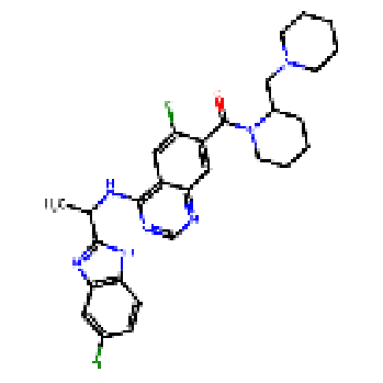 CC(Nc1ncnc2cc(C(=O)N3CCCCC3CN3CCCCC3)c(Cl)cc12)c1nc2cc(Cl)ccc2[nH]1